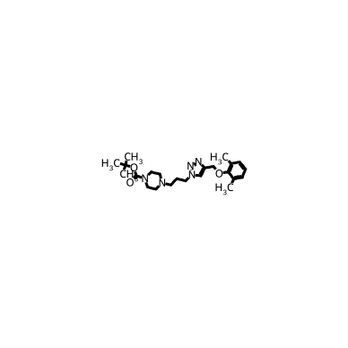 Cc1cccc(C)c1OCc1cn(CCCN2CCN(C(=O)OC(C)(C)C)CC2)nn1